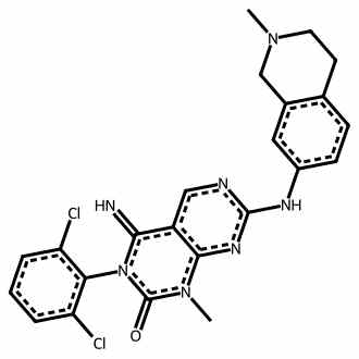 CN1CCc2ccc(Nc3ncc4c(=N)n(-c5c(Cl)cccc5Cl)c(=O)n(C)c4n3)cc2C1